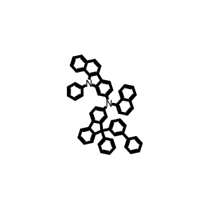 c1ccc(-c2cccc(C3(c4ccccc4)c4ccccc4-c4ccc(N(c5ccc6c7ccc8ccccc8c7n(-c7ccccc7)c6c5)c5cccc6ccccc56)cc43)c2)cc1